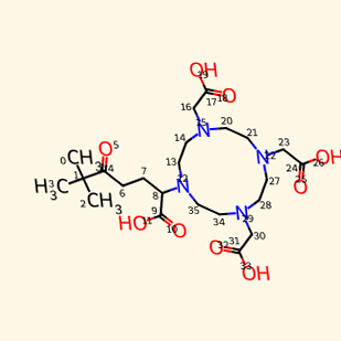 CC(C)(C)C(=O)CCC(C(=O)O)N1CCN(CC(=O)O)CCN(CC(=O)O)CCN(CC(=O)O)CC1